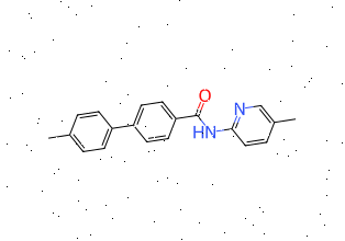 Cc1ccc(-c2ccc(C(=O)Nc3ccc(C)cn3)cc2)cc1